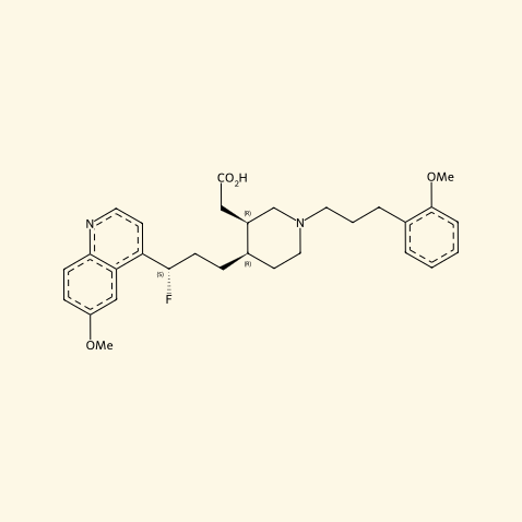 COc1ccc2nccc([C@@H](F)CC[C@@H]3CCN(CCCc4ccccc4OC)C[C@@H]3CC(=O)O)c2c1